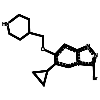 Brc1nnc2cc(OCC3CCNCC3)c(C3CC3)cn12